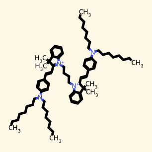 CCCCCCCCN(CCCCCCCC)c1ccc(/C=C/C2=[N+](CCCC[N+]3=C(/C=C/c4ccc(N(CCCCCCCC)CCCCCCCC)cc4)C(C)(C)c4ccccc43)c3ccccc3C2(C)C)cc1